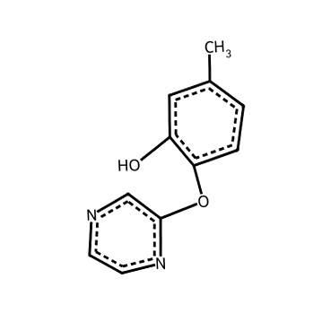 Cc1ccc(Oc2cnccn2)c(O)c1